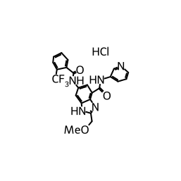 COCc1nc2c(C(=O)Nc3cccnc3)cc(NC(=O)c3ccccc3C(F)(F)F)cc2[nH]1.Cl